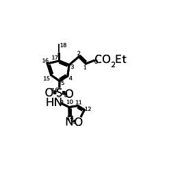 CCOC(=O)/C=C/c1cc(S(=O)(=O)Nc2ccon2)ccc1I